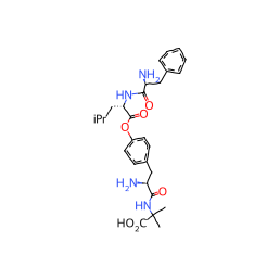 CC(C)C[C@H](NC(=O)[C@@H](N)Cc1ccccc1)C(=O)Oc1ccc(C[C@H](N)C(=O)NC(C)(C)C(=O)O)cc1